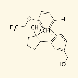 CC1(C)CCCC1c1cc(CO)ccc1-c1cc(OCC(F)(F)F)ccc1F